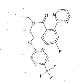 CCN(C(=O)c1ccc(F)cc1-c1ncccn1)[C@@H](C)COc1ccc(C(F)(F)F)cn1